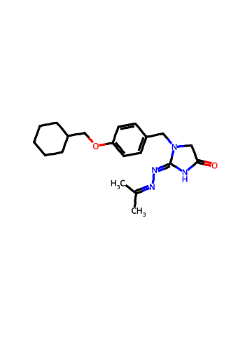 CC(C)=NN=C1NC(=O)CN1Cc1ccc(OCC2CCCCC2)cc1